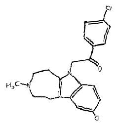 CN1CCc2c(n(CC(=O)c3ccc(Cl)cc3)c3ccc(Cl)cc23)CC1